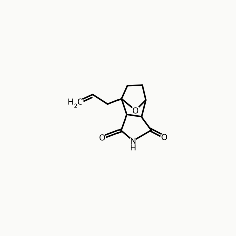 C=CCC12CCC(O1)C1C(=O)NC(=O)C12